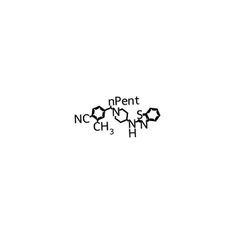 CCCCCC(c1ccc(C#N)c(C)c1)N1CCC(Nc2nc3ccccc3s2)CC1